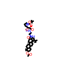 C=C(C)C1CC[C@]2(C(=O)NCCNC(=O)[C@H](C)[C@@H](OC)C3CCCN3C(=O)OC(C)(C)C)CC[C@]3(C)C(CCC4[C@@]5(C)CC[C@H](OC(C)=O)C(C)(C)C5CC[C@]43C)[C@@H]12